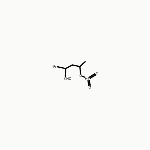 CCCC(C=O)CC(C)O[SH](=O)=O